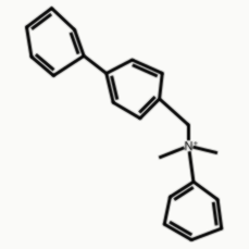 C[N+](C)(Cc1ccc(-c2ccccc2)cc1)c1ccccc1